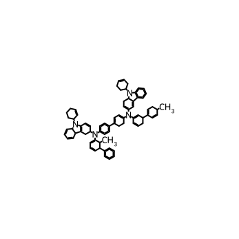 CC1C=CC(C2C=C(N(C3=CCC4C(=C3)c3ccccc3N4C3CC=CCC3)C3=CC=C(c4ccc(N(C5=CC=CC(c6ccccc6)C5C)C5C=CC6=C(C5)C5C=CC=CC5N6C5C=CCCC5)cc4)CC3)C=CC2)=CC1